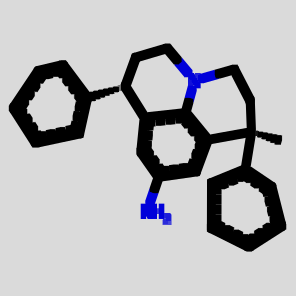 C[C@@]1(c2ccccc2)CCN2CC[C@@H](c3ccccc3)c3cc(N)cc1c32